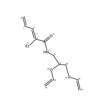 C=C/C=C(\CC)C(=O)NCC(COC=C)OC=C